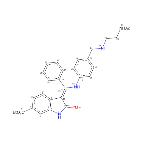 CCOC(=O)c1ccc2c(c1)NC(=O)/C2=C(\Nc1ccc(CNCCNC(C)=O)cc1)c1ccccc1